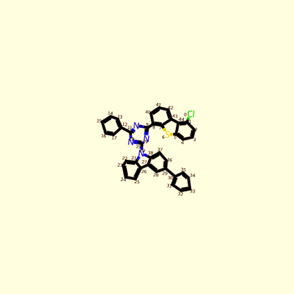 Clc1cccc2sc3c(-c4nc(-c5ccccc5)nc(-n5c6ccccc6c6cc(-c7ccccc7)ccc65)n4)cccc3c12